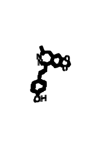 CC1=NN=C(C=Cc2ccc(O)cc2)c2cc3c(cc2C1)OCO3